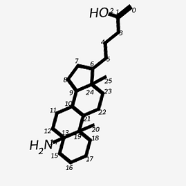 C=C(O)CCCC1CCC2C3CCC4(N)CCCCC4(C)C3CCC12C